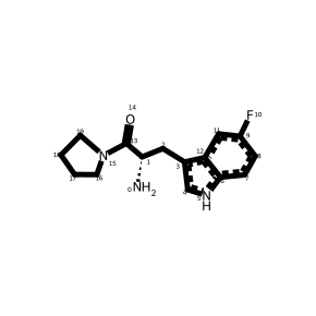 N[C@@H](Cc1c[nH]c2ccc(F)cc12)C(=O)N1CCCC1